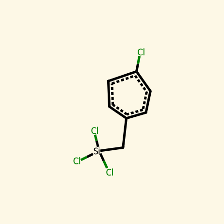 Clc1ccc(C[Si](Cl)(Cl)Cl)cc1